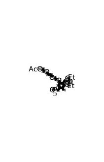 CCOP(=O)(Cc1cc(C)c(CP(C)(C)=O)cc1OCCOCCOCCOC(C)=O)OCC